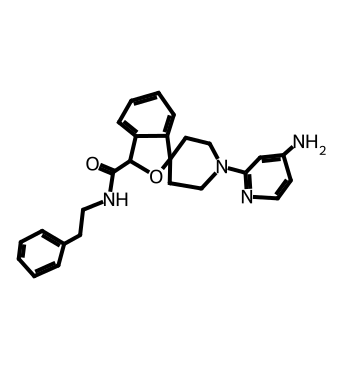 Nc1ccnc(N2CCC3(CC2)OC(C(=O)NCCc2ccccc2)c2ccccc23)c1